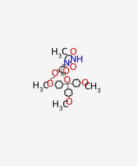 COCCO[C@H]1C[C@H](n2cc(C)c(=O)[nH]c2=O)O[C@@H]1COC(c1ccccc1)(c1ccc(OC)cc1)c1ccc(OC)cc1